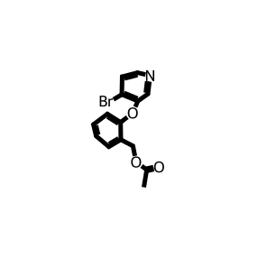 CC(=O)OCc1ccccc1Oc1cnccc1Br